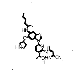 C/C=C/C=C(\C)Nc1cc2ncn(-c3ccc(C(C)O)c(N/C(C)=C\C(=N)C#N)n3)c2cc1OC1CCNC1